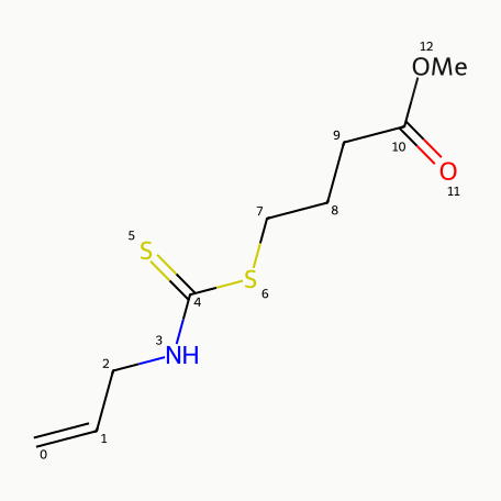 C=CCNC(=S)SCCCC(=O)OC